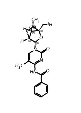 [2H]C[C@]12O[C@@H](n3cc(C)c(NC(=O)c4ccccc4)nc3=O)[C@H](S[C@H]1C)[C@@H]2O